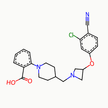 N#Cc1ccc(OC2CN(CC3CCN(c4ccccc4C(=O)O)CC3)C2)cc1Cl